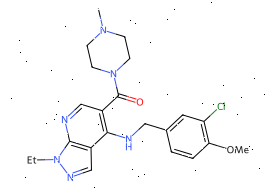 CCn1ncc2c(NCc3ccc(OC)c(Cl)c3)c(C(=O)N3CCN(C)CC3)cnc21